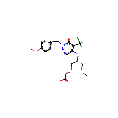 COC[C@@H](COCC(=O)O)Nc1cnn(Cc2ccc(OC)cc2)c(=O)c1C(F)(F)F